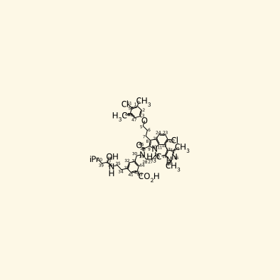 Cc1cc(OCCCc2c3n(c4c(-c5c(C)nn(C)c5C)c(Cl)ccc24)CCCN(Cc2cc(CCNC(O)CC(C)C)cc(C(=O)O)c2)C3=O)cc(C)c1Cl